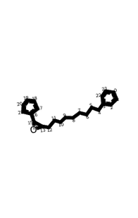 c1ccc(CCCCCCCCCC2OC2c2ccccc2)cc1